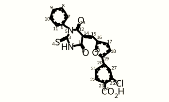 O=C1NC(=S)N(c2ccccc2)C(=O)C1=Cc1ccc(-c2ccc(C(=O)O)c(Cl)c2)o1